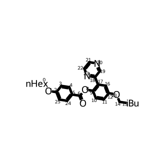 CCCCCCOc1ccc(C(=O)Oc2ccc(OCC(C)CC)cc2-c2cnccn2)cc1